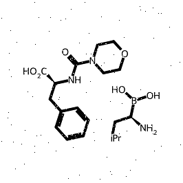 CC(C)C[C@H](N)B(O)O.O=C(O)[C@H](Cc1ccccc1)NC(=O)N1CCOCC1